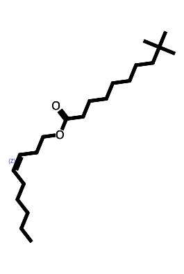 CCCCC/C=C\CCOC(=O)CCCCCCCC(C)(C)C